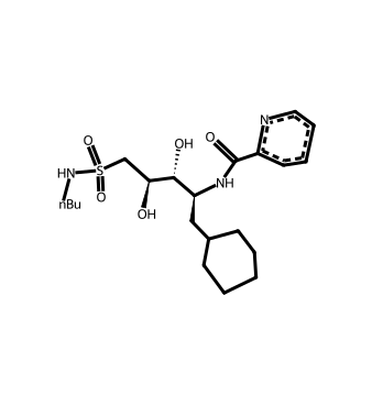 CCCCNS(=O)(=O)C[C@H](O)[C@H](O)[C@H](CC1CCCCC1)NC(=O)c1ccccn1